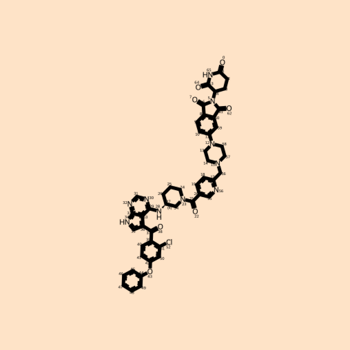 O=C1CCC(N2C(=O)c3ccc(N4CCN(Cc5ccc(C(=O)N6CCC[C@@H](Nc7ncnc8[nH]cc(C(=O)c9ccc(Oc%10ccccc%10)cc9Cl)c78)C6)cn5)CC4)cc3C2=O)C(=O)N1